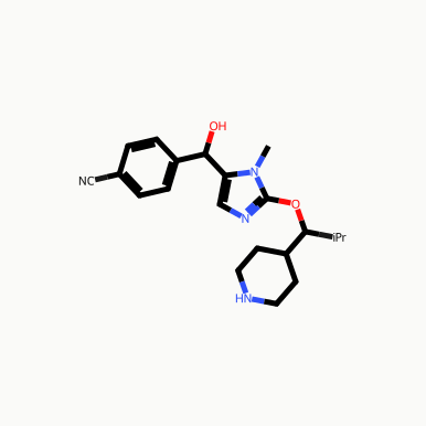 CC(C)C(Oc1ncc(C(O)c2ccc(C#N)cc2)n1C)C1CCNCC1